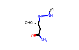 CC(C)NN[C@@H](C=O)CC(N)=O